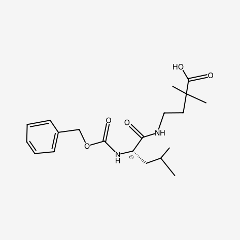 CC(C)C[C@H](NC(=O)OCc1ccccc1)C(=O)NCCC(C)(C)C(=O)O